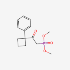 COP(=O)(CC(=O)C1(c2ccccc2)CCC1)OC